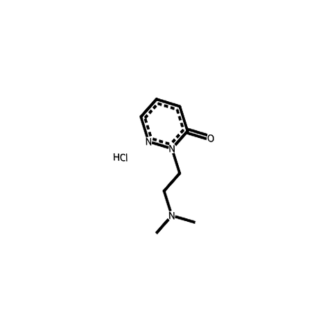 CN(C)CCn1ncccc1=O.Cl